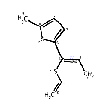 C=CS/C(=C\C)c1ccc(C)s1